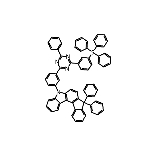 c1ccc(-c2nc(-c3cccc(-n4c5ccccc5c5c6c(ccc54)C(c4ccccc4)(c4ccccc4)c4ccccc4-6)c3)nc(-c3cccc(S(c4ccccc4)(c4ccccc4)c4ccccc4)c3)n2)cc1